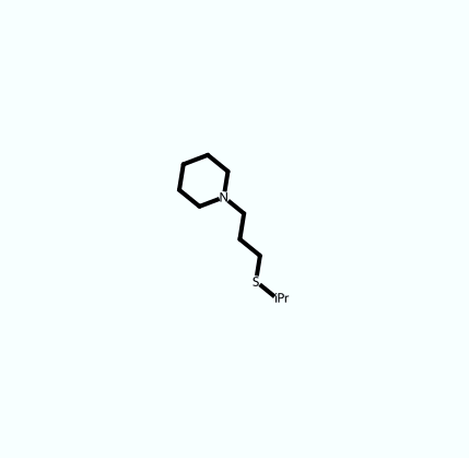 CC(C)SCCCN1CCCCC1